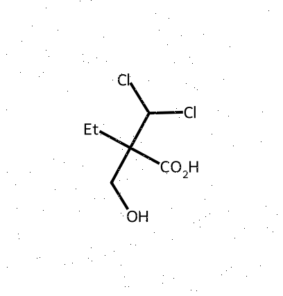 CCC(CO)(C(=O)O)C(Cl)Cl